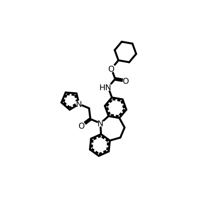 O=C(Nc1ccc2c(c1)N(C(=O)Cn1cccc1)c1ccccc1CC2)OC1CCCCC1